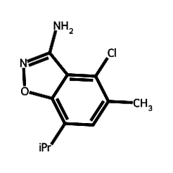 Cc1cc(C(C)C)c2onc(N)c2c1Cl